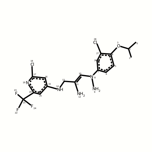 CC(C)Oc1ccc(N(N)/C=C(\N)CNc2cc(Cl)nc(C(F)(F)F)c2)cc1Cl